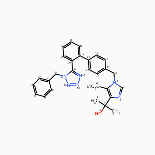 CCOC(=O)c1c(C(C)(C)O)ncn1Cc1ccc(-c2ccccc2-c2nnnn2Cc2ccccc2)cc1